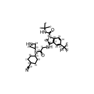 CC(C)(C)NC(=O)n1nc(NCC(=O)N(C2CCC(C#N)CC2)C2CNC2)c2cc(C(F)(F)F)ccc21